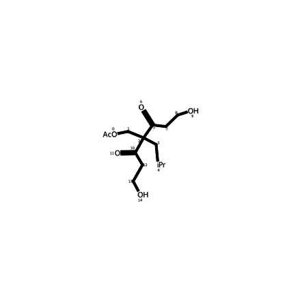 CC(=O)OCC(CC(C)C)(C(=O)CCO)C(=O)CCO